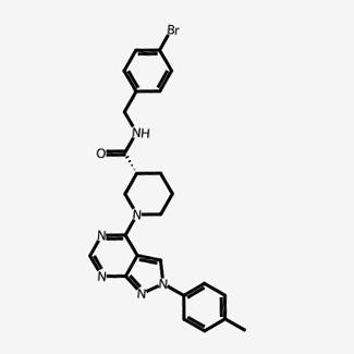 Cc1ccc(-n2cc3c(N4CCC[C@@H](C(=O)NCc5ccc(Br)cc5)C4)ncnc3n2)cc1